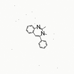 CC1=Nc2ccccc2C=C(c2ccccc2)N1C